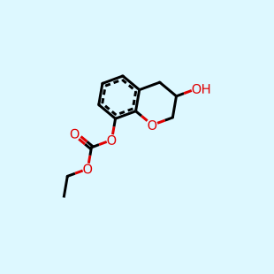 CCOC(=O)Oc1cccc2c1OCC(O)C2